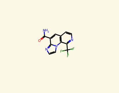 NC(=O)c1cc2ccnc(C(F)(F)F)c2n2ccnc12